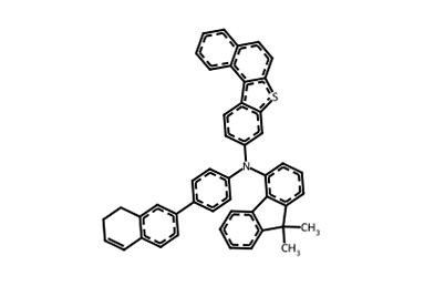 CC1(C)c2ccccc2-c2c(N(c3ccc(-c4ccc5c(c4)CCC=C5)cc3)c3ccc4c(c3)sc3ccc5ccccc5c34)cccc21